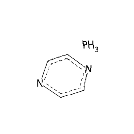 P.c1cnccn1